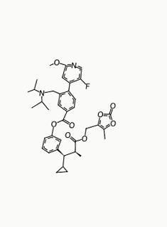 COc1cc(-c2ccc(C(=O)Oc3cccc([C@H](C4CC4)[C@H](C)C(=O)OCc4oc(=O)oc4C)c3)cc2CN(C(C)C)C(C)C)c(F)cn1